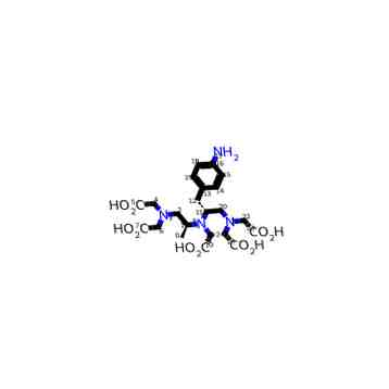 C[C@@H](CN(CC(=O)O)CC(=O)O)N(CC(=O)O)[C@H](Cc1ccc(N)cc1)CN(CC(=O)O)CC(=O)O